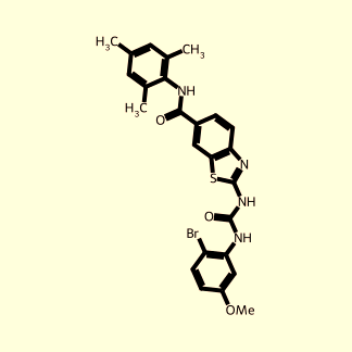 COc1ccc(Br)c(NC(=O)Nc2nc3ccc(C(=O)Nc4c(C)cc(C)cc4C)cc3s2)c1